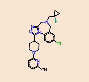 N#Cc1cccc(N2CCC(c3nnc4n3-c3ccc(Cl)cc3CN(CC3(F)CC3)C4)CC2)n1